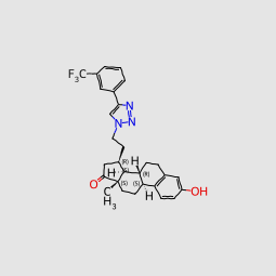 C[C@]12CC[C@@H]3c4ccc(O)cc4CC[C@H]3[C@@H]1[C@H](CCn1cc(-c3cccc(C(F)(F)F)c3)nn1)CC2=O